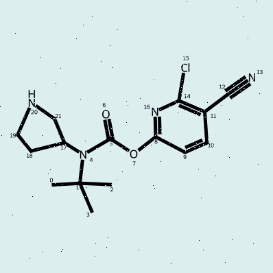 CC(C)(C)N(C(=O)Oc1ccc(C#N)c(Cl)n1)C1CCNC1